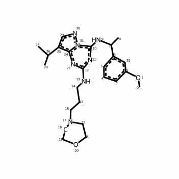 COc1cccc(C(C)Nc2nc(NCCCN3CCOCC3)nc3c(C(C)C)cnn23)c1